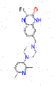 CCc1nc2ccc(CN3CCN(c4ccc(C)nc4C)CC3)cc2[nH]c1=O